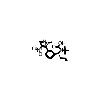 C=CC[C@@H](c1cccc(-c2c([N+](=O)[O-])cnn2C)c1)N(C(=O)O)C(C)(C)C